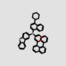 c1ccc(-c2cccc3cccc(-c4cccc(N(c5ccc6sc7ccccc7c6c5)c5ccc(C6CCCCC6)c6ccccc56)c4)c23)cc1